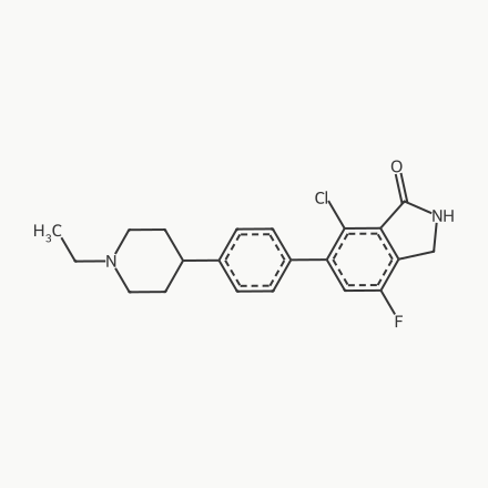 CCN1CCC(c2ccc(-c3cc(F)c4c(c3Cl)C(=O)NC4)cc2)CC1